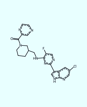 O=C(c1cnccn1)N1CCCC(CNc2nc(-c3c[nH]c4ncc(Cl)cc34)ncc2F)C1